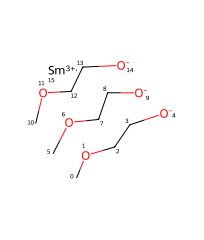 COCC[O-].COCC[O-].COCC[O-].[Sm+3]